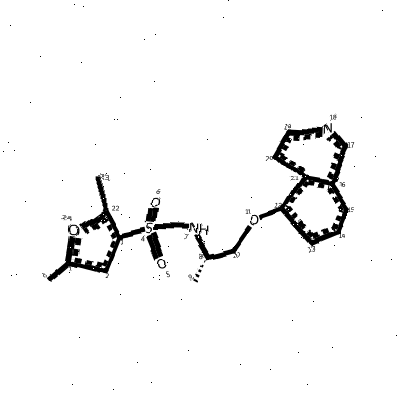 Cc1cc(S(=O)(=O)N[C@@H](C)COc2cccc3cnccc23)c(C)o1